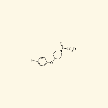 CCOC(=O)C(=O)N1CCC(Oc2ccc(F)cc2)CC1